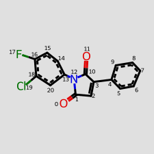 O=C1C=C(c2ccccc2)C(=O)N1c1ccc(F)c(Cl)c1